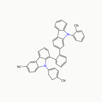 N#CC1=CC=C(n2c3ccc(C#N)cc3c3cccc(-c4ccccc4-c4ccc5c6ccccc6n(-c6ccccc6C#N)c5c4)c32)CC1